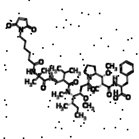 CC[C@H](C)[C@@H]([C@@H](CC(=O)N1CCC[C@H]1[C@H](OC)[C@@H](C)C(=O)N[C@@H](Cc1ccccc1)C(=O)O)OC)N(C)C(=O)C(/C=N/C(=O)C(C)(C)NC(=O)CCCCCN1C(=O)C=CC1=O)C(C)C